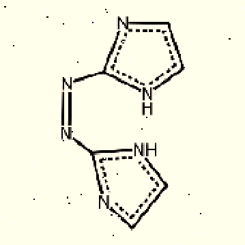 c1c[nH]c(/N=N\c2ncc[nH]2)n1